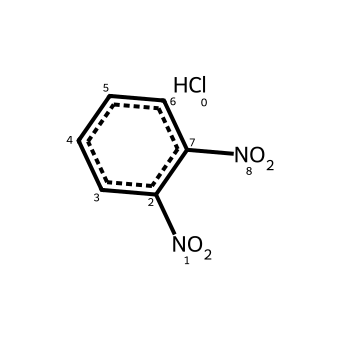 Cl.O=[N+]([O-])c1ccccc1[N+](=O)[O-]